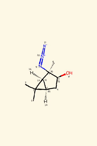 CC1(C)[C@@H]2C[C@H](O)[C@](C)(N=[N+]=[N-])[C@@H]21